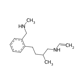 C=CNCC(C)CCc1ccccc1CNC